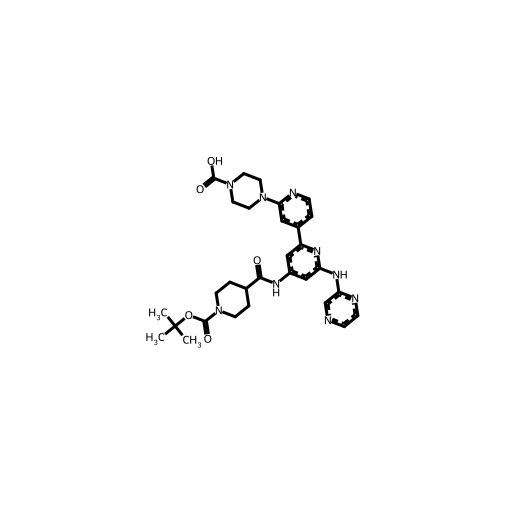 CC(C)(C)OC(=O)N1CCC(C(=O)Nc2cc(Nc3cnccn3)nc(-c3ccnc(N4CCN(C(=O)O)CC4)c3)c2)CC1